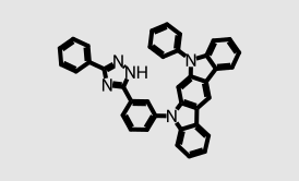 c1ccc(-c2n[nH]c(-c3cccc(-n4c5ccccc5c5cc6c7ccccc7n(-c7ccccc7)c6cc54)c3)n2)cc1